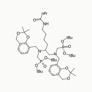 CCCC(=O)NCCCCC(CN(Cc1cccc2c1OC(C)(C)OC2)CP(=O)(OC(C)(C)C)OC(C)(C)C)N(Cc1cccc2c1OC(C)(C)OC2)CP(=O)(OC(C)(C)C)OC(C)(C)C